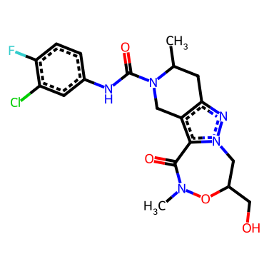 CC1Cc2nn3c(c2CN1C(=O)Nc1ccc(F)c(Cl)c1)C(=O)N(C)OC(CO)C3